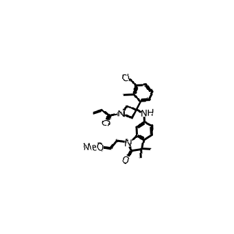 C=CC(=O)N1CC(Nc2ccc3c(c2)N(CCOC)C(=O)C3(C)C)(c2cccc(Cl)c2C)C1